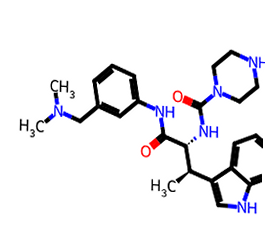 C[C@H](c1c[nH]c2ccccc12)[C@@H](NC(=O)N1CCNCC1)C(=O)Nc1cccc(CN(C)C)c1